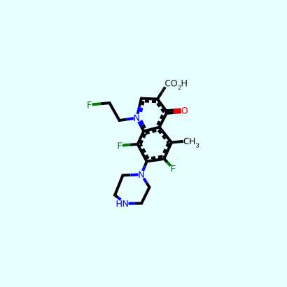 Cc1c(F)c(N2CCNCC2)c(F)c2c1c(=O)c(C(=O)O)cn2CCF